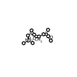 CC1(C)c2ccc(-c3ccc4c(c3)c3cc5c(cc3n4-c3ccccc3)oc3ccccc35)cc2-c2cc3c4ccccc4n(-c4cccc(-c5nc(-c6ccccc6)cc(-c6ccccc6)n5)c4)c3cc21